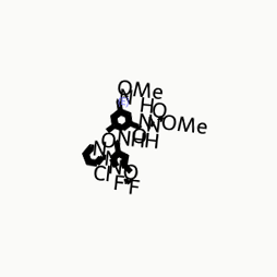 CO/N=C/c1cc(C)c(NC(=O)c2cc(OC(F)F)nn2-c2ncccc2Cl)c(C(=O)NNC(=O)OC)c1